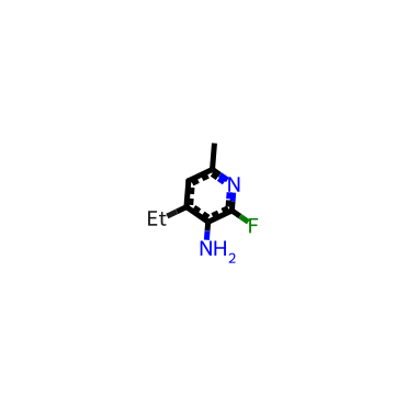 CCc1cc(C)nc(F)c1N